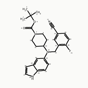 CC(C)(C)OC(=O)N1CCC(N(Cc2cc(C#N)ccc2F)c2ccc3[nH]ccc3c2)CC1